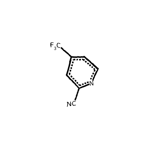 N#Cc1cc(C(F)(F)F)ccn1